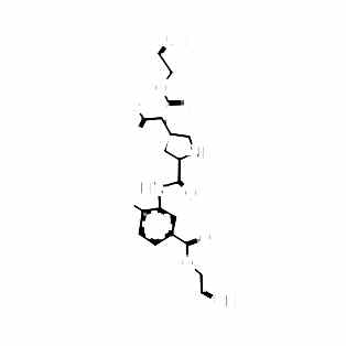 C=CCOC(=O)c1ccc(C)c(NC(=O)C2C[C@@H]([C@@H](C(=O)OCC=C)C(O)=S)CN2)c1